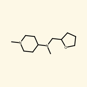 CN1CCC(N(C)CC2CCCO2)CC1